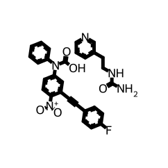 NC(=O)NCCc1cccnc1.O=C(O)N(c1ccccc1)c1ccc([N+](=O)[O-])c(C#Cc2ccc(F)cc2)c1